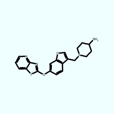 NC1CCN(Cc2coc3cc(Oc4nc5ncccc5s4)ccc23)CC1